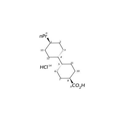 CCC[C@H]1CC[C@H]([C@H]2CC[C@H](C(=O)O)CC2)CC1.Cl